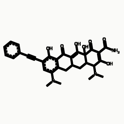 CN(C)c1cc(C#Cc2ccccc2)c(O)c2c1CC1CC3C(N(C)C)C(O)=C(C(N)=O)C(=O)C3(O)C(O)=C1C2=O